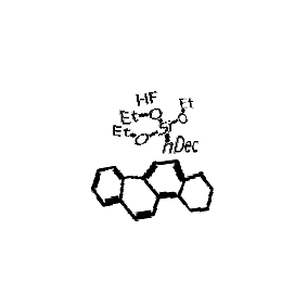 CCCCCCCCCC[Si](OCC)(OCC)OCC.F.c1ccc2c(c1)ccc1c3c(ccc12)CCCC3